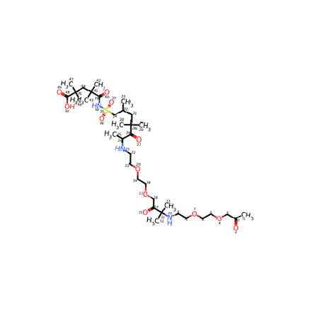 CC(=O)COCCOCCNC(C)(C)C(=O)COCCOCCNC(C)C(=O)C(C)(C)CC(C)CS(=O)(=O)NC(=O)C(C)(C)CC(C)(C)C(=O)O